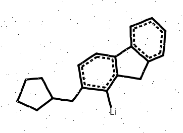 [Li][c]1c(CC2CCCC2)ccc2c1Cc1ccccc1-2